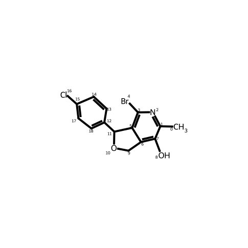 Cc1nc(Br)c2c(c1O)COC2c1ccc(Cl)cc1